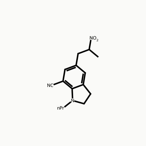 [CH2]CCN1CCc2cc(CC(C)[N+](=O)[O-])cc(C#N)c21